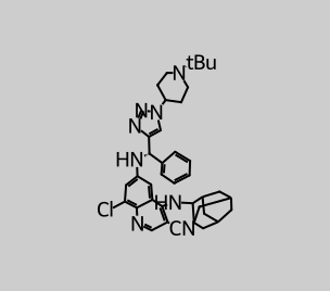 CC(C)(C)N1CCC(n2cc([C@@H](Nc3cc(Cl)c4ncc(C#N)c(NC5C6CC7CC(C6)CC5C7)c4c3)c3ccccc3)nn2)CC1